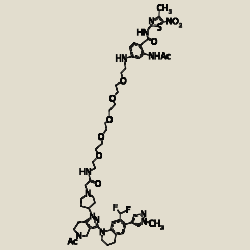 CC(=O)Nc1cc(NCCOCCOCCOCCOCCOCCNC(=O)CN2CCC(n3nc(N4CCCc5cc(-c6cnn(C)c6)c(C(F)F)cc54)c4c3CCN(C(C)=O)C4)CC2)ccc1C(=O)Nc1nc(C)c([N+](=O)[O-])s1